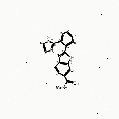 CNC(=O)c1ccc2nc(-c3ccccc3-c3ncc[nH]3)[nH]c2c1